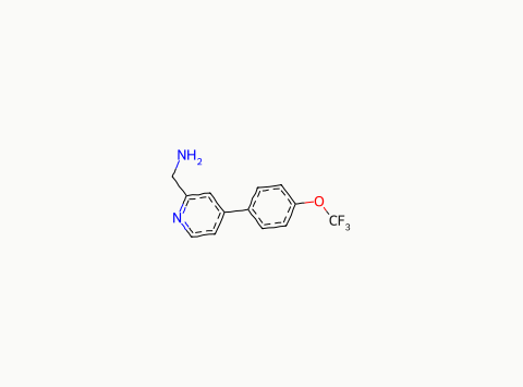 NCc1cc(-c2ccc(OC(F)(F)F)cc2)ccn1